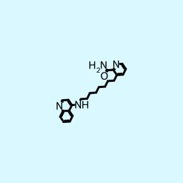 NC(=O)c1ncccc1CCCCCCCCNc1ccnc2ccccc12